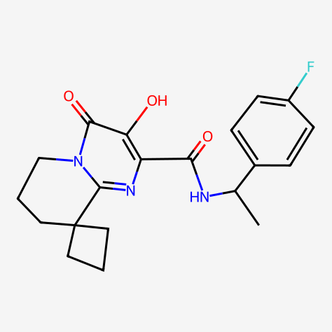 CC(NC(=O)c1nc2n(c(=O)c1O)CCCC21CCC1)c1ccc(F)cc1